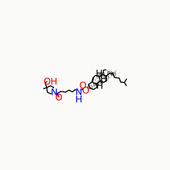 CC(C)CCC[C@@H](C)[C@H]1CC[C@H]2[C@@H]3CC=C4C[C@@H](OC(=O)NCCCCCC(=O)N5CCC(C)(CO)CC5)CC[C@]4(C)[C@H]3CC[C@]12C